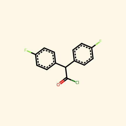 O=C(Cl)C(c1ccc(F)cc1)c1ccc(F)cc1